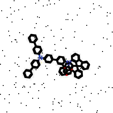 c1ccc(-c2ccc(N(c3ccc(-c4ccccc4)cc3)c3ccc(-c4ccc5c(c4)c4ccccc4n5-c4cccc5c4C4(c6ccccc6-5)c5ccccc5-c5c4ccc4ccccc54)cc3)cc2)cc1